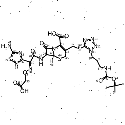 CC(C)(C)OC(=O)NCCCn1nnnc1SCC1=C(C(=O)O)N2C(=O)C(NC(=O)C(=NOCC(=O)O)c3nsc(N)n3)[C@@H]2SC1